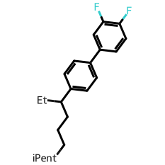 CCCC(C)CCCC(CC)c1ccc(-c2ccc(F)c(F)c2)cc1